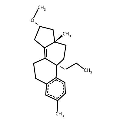 CCC[C@@]12CC[C@@]3(C)C[C@@H](OC)CC3=C1CCc1cc(C)ccc12